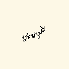 Cc1cc(CNC(=O)c2ccc([C@@H](C)[C@]3(C)CC(=O)NC3=O)cc2)cc(C)n1